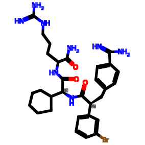 N=C(N)NCCCC(NC(=O)[C@@H](NC(=O)[C@@H](Cc1ccc(C(=N)N)cc1)c1cccc(Br)c1)C1CCCCC1)C(N)=O